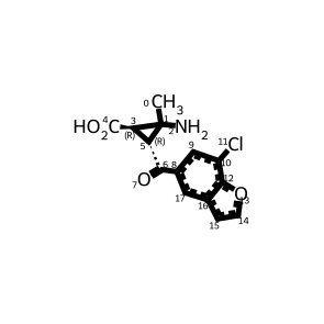 CC1(N)[C@H](C(=O)O)[C@H]1C(=O)c1cc(Cl)c2occc2c1